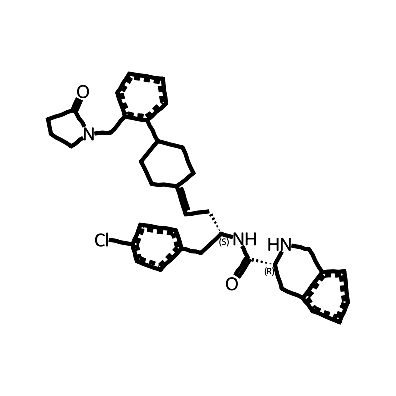 O=C(N[C@@H](CC=C1CCC(c2ccccc2CN2CCCC2=O)CC1)Cc1ccc(Cl)cc1)[C@H]1Cc2ccccc2CN1